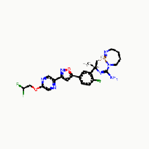 C[C@@]1(c2cc(-c3cc(-c4cnc(OCC(F)F)cn4)no3)ccc2F)C[S@@]2=NCCCCN2C(N)=N1